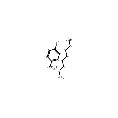 O=C(O)c1ccc(F)cc1.OCCCCCOC(F)(F)F